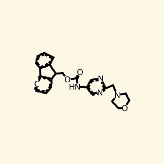 O=C(Nc1cnc(CN2CCOCC2)nc1)OCC1c2ccccc2-c2ccccc21